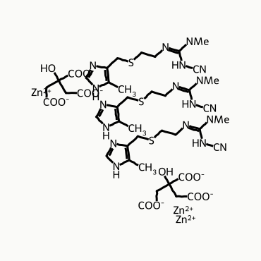 CNC(=NCCSCc1nc[nH]c1C)NC#N.CNC(=NCCSCc1nc[nH]c1C)NC#N.CNC(=NCCSCc1nc[nH]c1C)NC#N.O=C([O-])CC(O)(CC(=O)[O-])C(=O)[O-].O=C([O-])CC(O)(CC(=O)[O-])C(=O)[O-].[Zn+2].[Zn+2].[Zn+2]